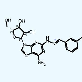 Cc1cccc(/C=N/Nc2nc(N)c3ncn([C@@H]4O[C@H](CO)[C@@H](O)[C@H]4O)c3n2)c1